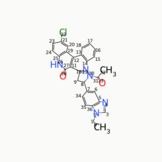 CCn1cnc2cc(C3CC(c4c(-c5ccccc5)c5cc(Cl)ccc5[nH]c4=O)=NN3C(C)=O)ccc21